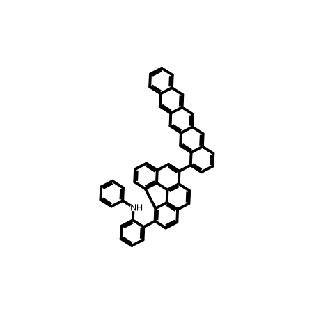 c1ccc(Nc2ccccc2-c2ccc3ccc4c(-c5cccc6cc7cc8cc9ccccc9cc8cc7cc56)cc5cccc6c5c4c3c2-6)cc1